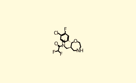 O=C(NC[C@@H]1CNCCO[C@H]1c1ccc(Cl)c(F)c1)C(F)F